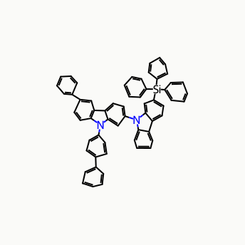 c1ccc(-c2ccc(-n3c4ccc(-c5ccccc5)cc4c4ccc(-n5c6ccccc6c6ccc([Si](c7ccccc7)(c7ccccc7)c7ccccc7)cc65)cc43)cc2)cc1